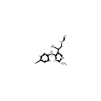 C.O=COCC(S)c1cncnc1Nc1ccc(I)cc1